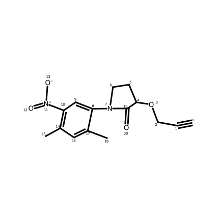 C#CCOC1CCN(c2cc([N+](=O)[O-])c(C)cc2C)C1=O